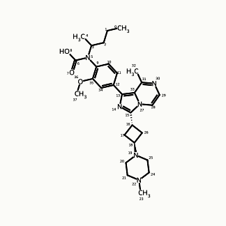 CCCC(C)N(C(=O)O)c1ccc(-c2nc([C@H]3C[C@H](N4CCN(C)CC4)C3)n3ccnc(C)c23)cc1OC